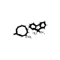 CC1/C=C\C(I)CCCC[C@H](c2ccc3c(c2)C(C)(C)c2ccccc2-3)C1